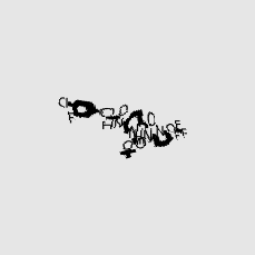 CC(C)(C)OC(=O)N1CC(NC(=O)COc2ccc(Cl)c(F)c2)CC[C@H]1C(=O)Nc1cccc(OC(F)(F)F)n1